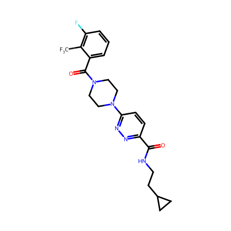 O=C(NCCC1CC1)c1ccc(N2CCN(C(=O)c3cccc(F)c3C(F)(F)F)CC2)nn1